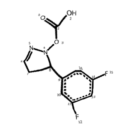 O=C(O)ON1N=CCC1c1cc(F)cc(F)c1